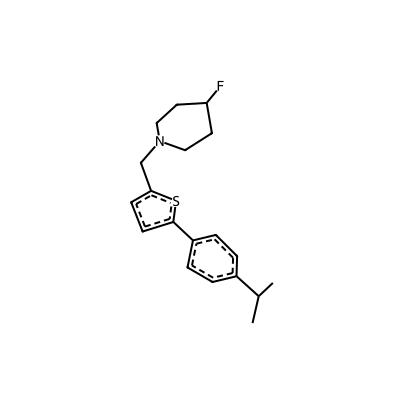 CC(C)c1ccc(-c2ccc(CN3CCC(F)CC3)s2)cc1